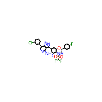 C[C@H](Oc1cc(-c2nn(C)c3c(-c4cccc(Cl)c4)cnc(N)c23)ccc1NS(=O)(=O)C(F)F)c1ccc(F)cc1